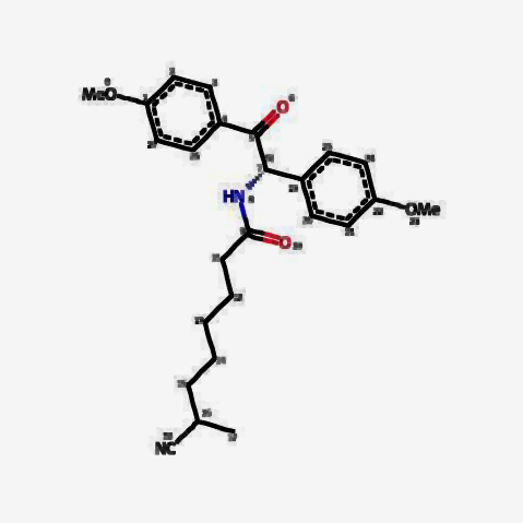 COc1ccc(C(=O)[C@@H](NC(=O)CCCCCC(C)C#N)c2ccc(OC)cc2)cc1